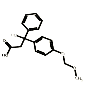 COCOc1ccc(C(O)(CC(=O)O)c2ccccc2)cc1